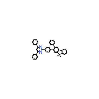 CC1(C)c2ccccc2-c2cc(-c3ccccc3)c(-c3ccc(-c4nc(-c5ccccc5)cc(-c5ccccc5)n4)cc3)cc21